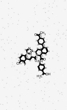 C=C(O)c1ccc(NC(=O)C2c3cccc(C4CCC(C(C)=O)CC4)c3CCN2C(=O)/C=C/c2c(-n3cnnn3)ccc(Cl)c2F)cc1